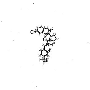 CN(Cc1ccc(Cl)cc1)C(=O)C1CCCN1C(=O)NCc1ccc(C(F)(F)F)cc1F